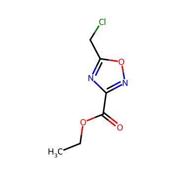 CCOC(=O)c1noc(CCl)n1